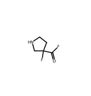 O=C(F)C1(F)CCNC1